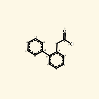 O=C(Cl)Cc1ccccc1-c1ccccc1